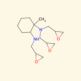 CC1(N(CC2CO2)CC2CO2)CCCCC1NCC1CO1